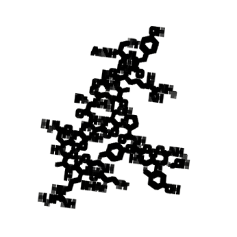 CC(=O)N[C@@H](CC(C)C)C(=O)N[C@@H](Cc1ccc(O)cc1)C(=O)N[C@@H](CCCNC(=N)N)C(=O)N[C@@H](C)C(=O)N[C@@H](CC(N)=O)C(=O)N[C@H](C(=O)N[C@@H](CSC(=O)[C@@H](NC(=O)[C@H](CC(N)=O)NC(=O)[C@H](C)NC(=O)[C@H](CCCNC(=N)N)NC(=O)[C@H](Cc1ccc(O)cc1)NC(=O)[C@H](CC(C)C)NC(C)=O)C(C)C)C(=O)N[C@@H](CO)C(=O)N1CCC[C@H]1C(=O)NCC(=O)N[C@@H](Cc1ccc(O)cc1)C(=O)N[C@@H](CO)C(N)=O)C(C)C